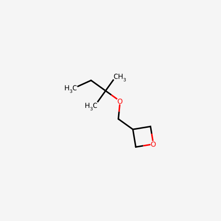 CCC(C)(C)OCC1COC1